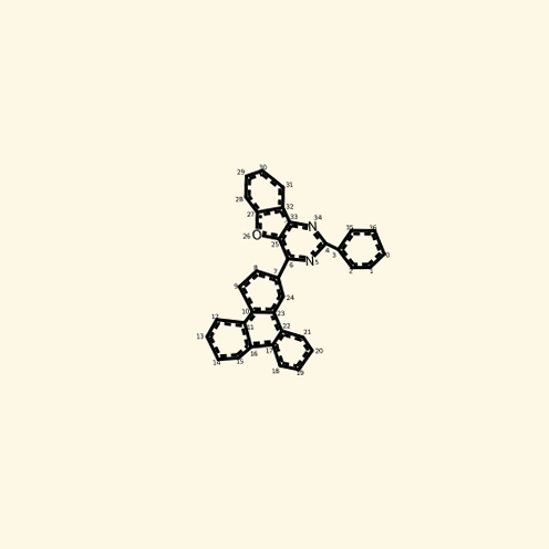 c1ccc(-c2nc(-c3ccc4c5ccccc5c5ccccc5c4c3)c3oc4ccccc4c3n2)cc1